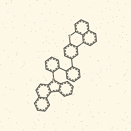 c1ccc(-c2ccccc2-n2c3ccccc3c3c4ccccc4ccc32)c(-c2ccc3c(c2)-c2cccc4cccc(c24)S3)c1